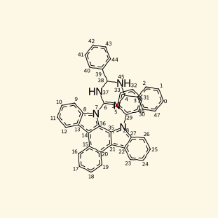 c1ccc(C2N=C(n3c4ccccc4c4c5ccccc5c5c6ccccc6n(-c6ccccc6)c5c43)NC(c3ccccc3)N2)cc1